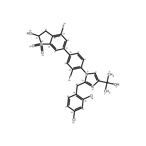 CC(C)(O)c1cn(-c2ccc(-c3cc(F)c4c(c3)S(=O)(=O)C(O)C4)cc2F)c(Cc2ccc(Cl)cc2Cl)n1